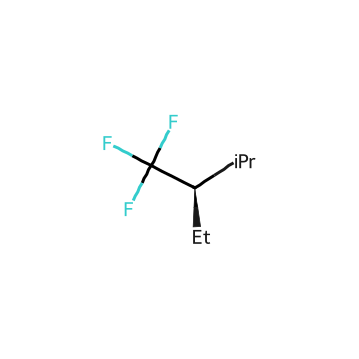 CC[C@H](C(C)C)C(F)(F)F